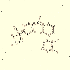 Cc1cccc(-c2cccc(N(C)c3ccc(S(=O)(=O)CC(=O)O)cc3)c2)c1C